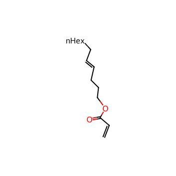 C=CC(=O)OCCCC=CCCCCCCC